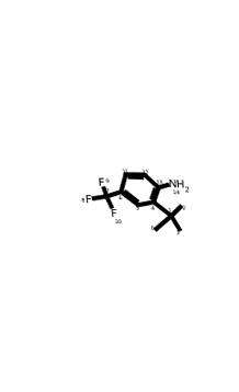 CC(C)(C)c1cc(C(F)(F)F)ccc1N